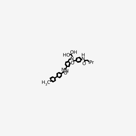 Cc1ccc(-c2ccc(-c3nc(-c4ccc(CN(CC(O)O)C(=O)c5ccc(NC(=O)CC(C)C)cc5)cc4)no3)cc2)cc1